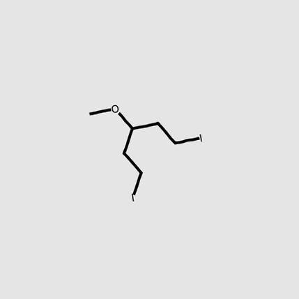 COC(CCI)CCI